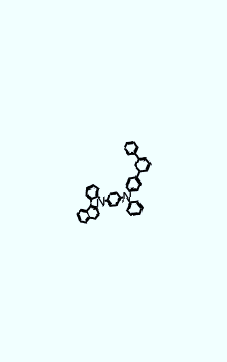 C1=CC(c2ccc(N(c3ccccc3)c3ccc(-n4c5ccccc5c5c6ccccc6ccc54)cc3)cc2)CC(c2ccccc2)=C1